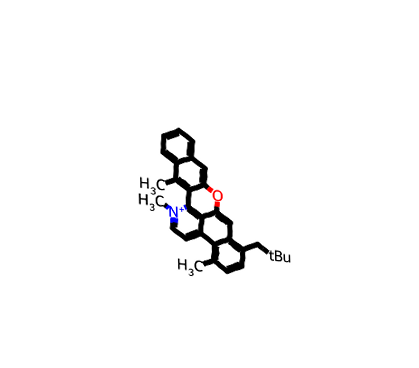 Cc1c2c(cc3ccccc13)Oc1cc3c(CC(C)(C)C)ccc(C)c3c3cc[n+](C)c-2c13